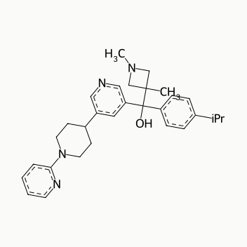 CC(C)c1ccc(C(O)(c2cncc(C3CCN(c4ccccn4)CC3)c2)C2(C)CN(C)C2)cc1